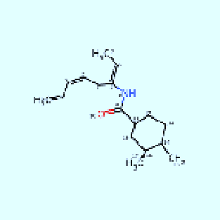 C=C/C=C\C/C(=C\C)NC(=O)C1CCC(C)[C@@H](C)C1